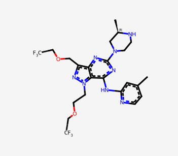 Cc1ccnc(Nc2nc(N3CCN[C@H](C)C3)nc3c(COCC(F)(F)F)nn(CCOCC(F)(F)F)c23)c1